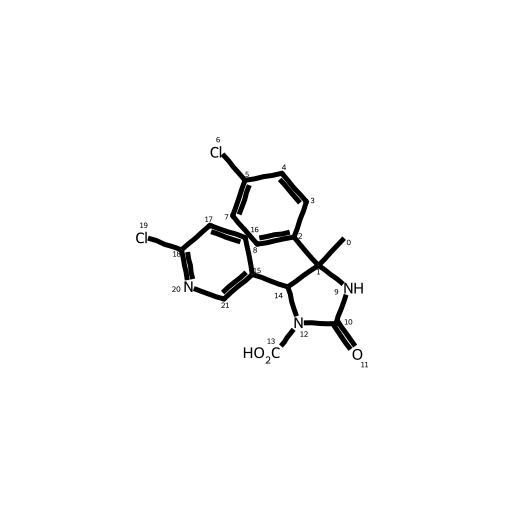 CC1(c2ccc(Cl)cc2)NC(=O)N(C(=O)O)C1c1ccc(Cl)nc1